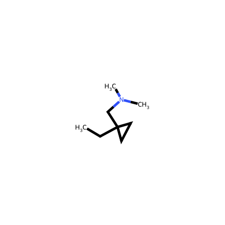 CCC1(CN(C)C)CC1